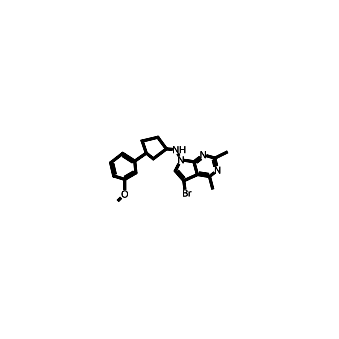 COc1cccc(C2CCC(Nn3cc(Br)c4c(C)nc(C)nc43)C2)c1